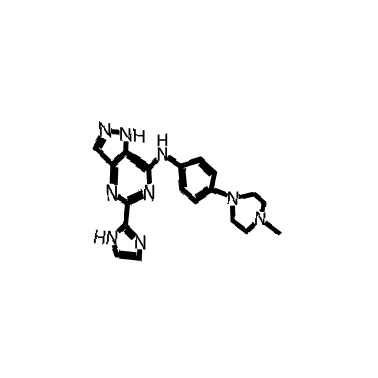 CN1CCN(c2ccc(Nc3nc(-c4ncc[nH]4)nc4cn[nH]c34)cc2)CC1